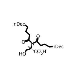 CCCCCCCCCCCCCC(=O)N(C(=O)CCCCCCCCCCCCC)[C@@H](CO)C(=O)O